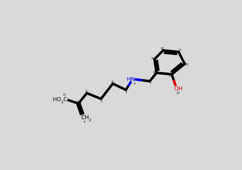 C=C(CCCCNCc1ccccc1O)C(=O)O